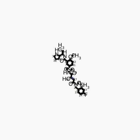 CCC(NC(=O)c1cc(S(=O)(=O)NC(=O)/C(O)=C/C(=O)N(Cc2ccc(F)cc2)OC)ccc1OC)C1CCCN1